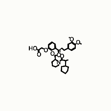 COc1ccc(CC[C@@H](OC(=O)C2CCCCN2C(=O)C(C)C2CCCCC2)c2cccc(OCC(=O)O)c2)cc1OC